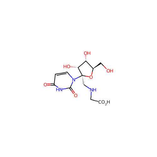 O=C(O)CNC[C@@]1(n2ccc(=O)[nH]c2=O)O[C@H](CO)[C@@H](O)[C@H]1O